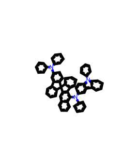 c1ccc(N(c2ccccc2)c2ccc3c(c2)-c2ccccc2C32c3ccccc3-c3c2cc2ccccc2c3N(c2ccccc2)c2ccc3c(c2)c2ccccc2n3-c2ccccc2)cc1